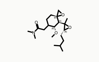 CO[C@@H]1C(CC(=O)N(C)C)CC[C@]2(CO2)[C@H]1C1(C)O[C@@H]1CCC(C)C